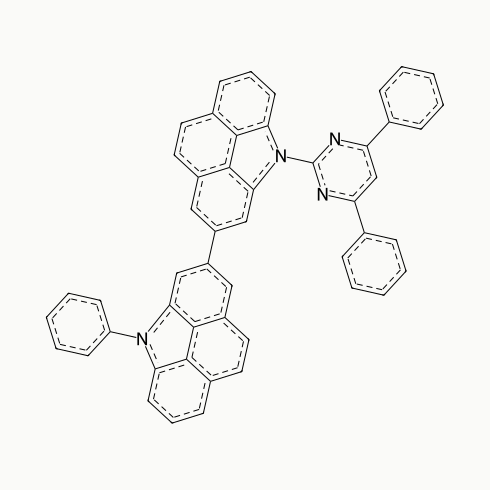 c1ccc(-c2cc(-c3ccccc3)nc(-n3c4cccc5ccc6cc(-c7cc8ccc9cccc%10c9c8c(c7)n%10-c7ccccc7)cc3c6c54)n2)cc1